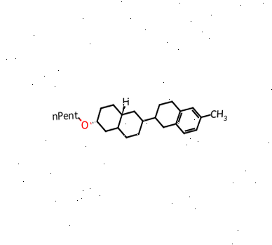 CCCCCO[C@@H]1CC[C@@H]2CC(C3CCc4cc(C)ccc4C3)CCC2C1